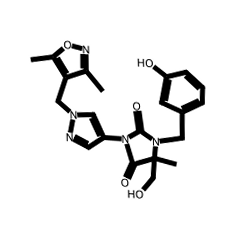 Cc1noc(C)c1Cn1cc(N2C(=O)N(Cc3cccc(O)c3)C(C)(CO)C2=O)cn1